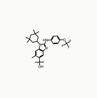 Cc1cc2c(cc1C(C)(C)O)nc(Nc1ccc(OC(F)(F)F)cc1)n2C1CC(C)(C)CC(C)(C)C1